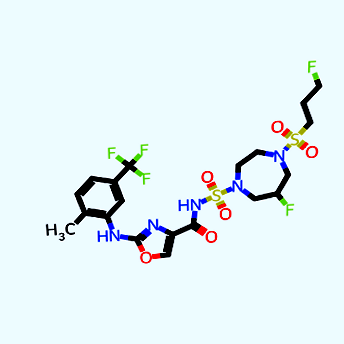 Cc1ccc(C(F)(F)F)cc1Nc1nc(C(=O)NS(=O)(=O)N2CCN(S(=O)(=O)CCCF)CC(F)C2)co1